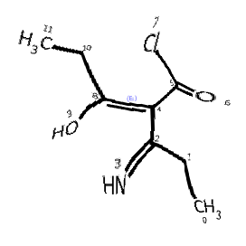 CCC(=N)/C(C(=O)Cl)=C(\O)CC